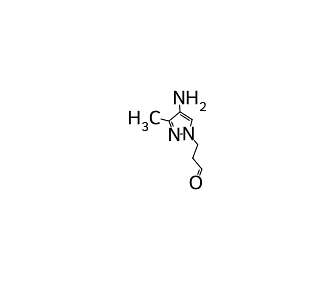 Cc1nn(CCC=O)cc1N